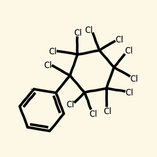 ClC1(Cl)C(Cl)(Cl)C(Cl)(Cl)C(Cl)(c2[c]cccc2)C(Cl)(Cl)C1(Cl)Cl